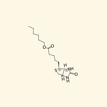 CCCCCCOC(=O)CCCC[C@@H]1SC[C@@H]2NC(=O)N[C@@H]21